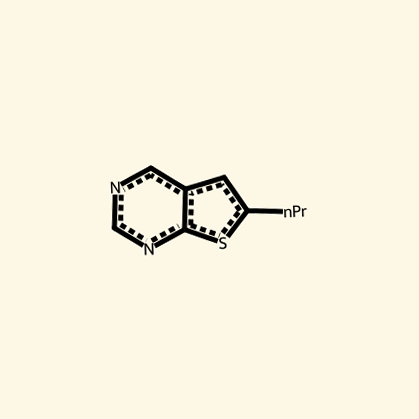 CCCc1cc2cncnc2s1